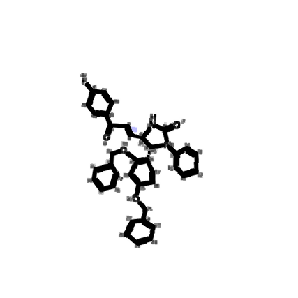 O=C(/C=C/[C@H]1NC(=O)N(c2ccccc2)[C@@H]1c1ccc(OCc2ccccc2)cc1OCc1ccccc1)c1ccc(F)cc1